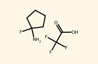 NC1(F)CCCC1.O=C(O)C(F)(F)F